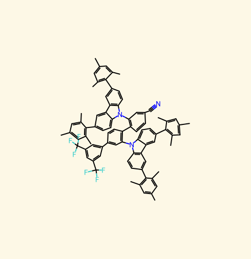 Cc1cc(C)c(-c2ccc3c(c2)c2cc(-c4c(C)cc(C)cc4C)ccc2n3-c2cc(C#N)ccc2-c2ccc(-c3cc(C(F)(F)F)cc(C(F)(F)F)c3)cc2-n2c3ccc(-c4c(C)cc(C)cc4C)cc3c3cc(-c4c(C)cc(C)cc4C)ccc32)c(C)c1